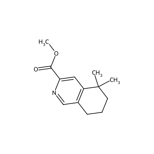 COC(=O)c1cc2c(cn1)CCCC2(C)C